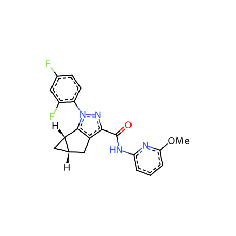 COc1cccc(NC(=O)c2nn(-c3ccc(F)cc3F)c3c2C[C@@H]2C[C@H]32)n1